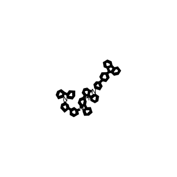 C1=CC2C3=C(C=CCC3)C(c3ccc(-c4ccc(N5C6=C(CCC=C6)[C@@H]6C(c7ccc8c(c7)c7ccccc7n8-c7cccc(-c8cccc(-n9c%10ccccc%10c%10ccccc%109)c8)c7)=CC=CC65)cc4)cc3)C2C=C1